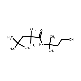 CC(C)(C)CC(C)(C)C(=O)NC(C)(C)CCO